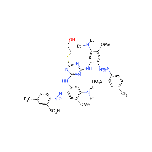 CCN(CC)c1cc(Nc2nc(Nc3cc(N(CC)CC)c(OC)cc3/N=N/c3ccc(C(F)(F)F)cc3S(=O)(=O)O)nc(SCCO)n2)c(/N=N/c2ccc(C(F)(F)F)cc2S(=O)(=O)O)cc1OC